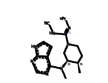 CCC/N=C(\NC#N)N1CC[C@@H](C)[C@@H](N(C)c2ncnc3[nH]ccc23)C1